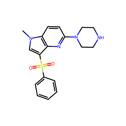 Cn1cc(S(=O)(=O)c2ccccc2)c2nc(N3CCNCC3)ccc21